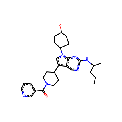 CCCC(C)Nc1ncc2c(C3CCN(C(=O)c4cccnc4)CC3)cn(C3CCC(O)CC3)c2n1